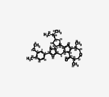 COc1cc(-c2nnc(Cn3c(N4CC[C@@H](N(C)C)C4)nc4c3C(=O)N(C)COCN4C)o2)ccc1C